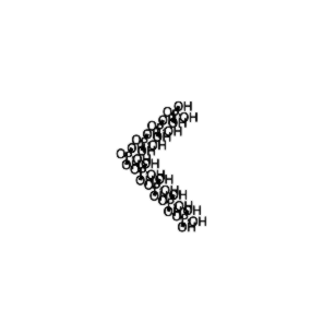 O=P(O)(O)O.O=P(O)(O)O.O=P(O)(O)O.O=P(O)(O)O.O=P(O)(O)O.O=P(O)(O)O.O=P(O)(O)O.O=P(O)(O)O